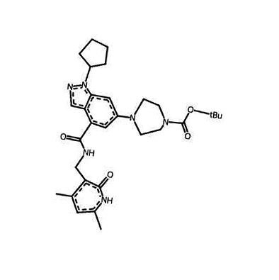 Cc1cc(C)c(CNC(=O)c2cc(N3CCN(C(=O)OC(C)(C)C)CC3)cc3c2cnn3C2CCCC2)c(=O)[nH]1